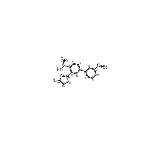 CCCC(CC)c1ccc(-c2cccc(OCC)c2)cc1-n1ccc(C)n1